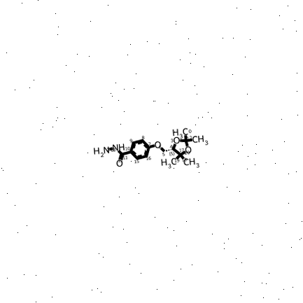 CC1(C)O[C@@H](COc2ccc(C(=O)NN)cc2)C(C)(C)O1